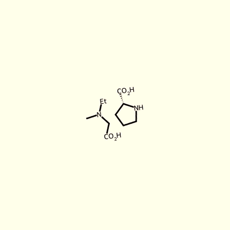 CCN(C)CC(=O)O.O=C(O)[C@H]1CCCN1